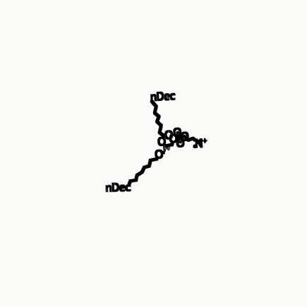 CCCCCCCCCCCCCCCCCCOC[C@@H](COP(=O)([O-])OCC[N+](C)(C)C)OC(=O)CCCCCCCCCCCCCCCCC